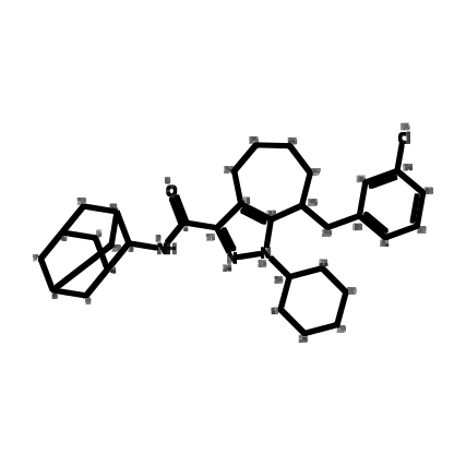 O=C(NC1C2CC3CC(C2)CC1C3)c1nn(C2CCCCC2)c2c1CCCCC2Cc1cccc(Cl)c1